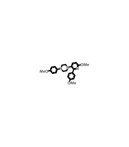 COc1ccc(-c2nc(OC)ccc2N2CCN(c3ccc(OC)cc3)CC2)cc1